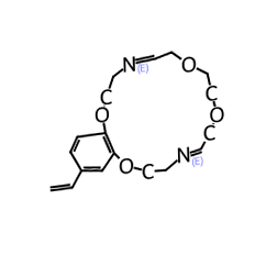 C=Cc1ccc2c(c1)OCC/N=C/COCCOC/C=N/CCO2